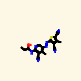 CCC(O)Nc1ncc(N=Nc2sc(C#N)c(C)c2C#N)c(C)c1C#N